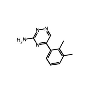 Cc1cccc(-c2cnnc(N)n2)c1C